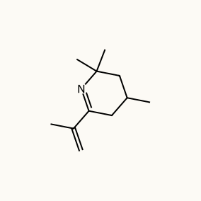 C=C(C)C1=NC(C)(C)CC(C)C1